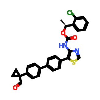 C[C@@H](OC(=O)Nc1ncsc1-c1ccc(-c2ccc(C3(C=O)CC3)cc2)cc1)c1ccccc1Cl